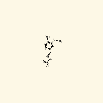 COc1cc(C=NNC(N)=S)ccc1O